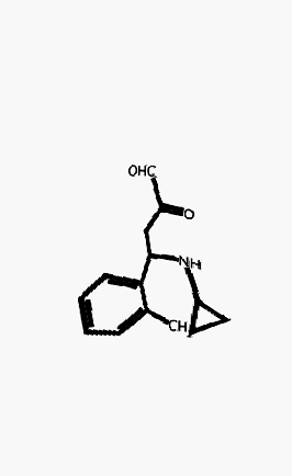 [CH2]c1ccccc1C(CC(=O)C=O)NC1CC1